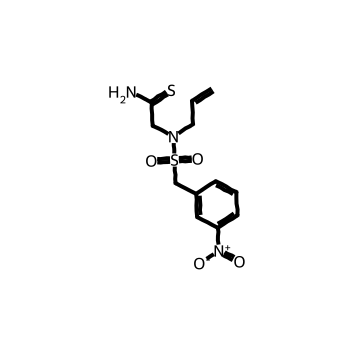 C=CCN(CC(N)=S)S(=O)(=O)Cc1cccc([N+](=O)[O-])c1